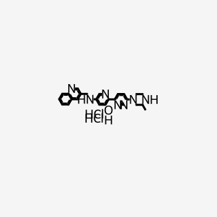 CC1CN(c2ccc(-c3ncc(NCc4cnc5ccccc5c4)cc3O)nn2)CCN1.Cl.Cl